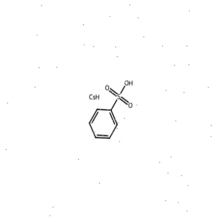 O=S(=O)(O)c1ccccc1.[CsH]